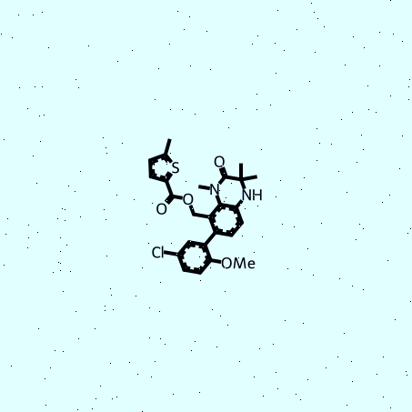 COc1ccc(Cl)cc1-c1ccc2c(c1COC(=O)c1ccc(C)s1)N(C)C(=O)C(C)(C)N2